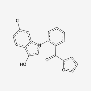 O=C(c1ccco1)c1ccccc1-n1cc(O)c2ccc(Cl)cc21